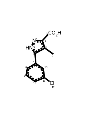 Cc1c(C(=O)O)n[nH]c1-c1cccc(Cl)c1